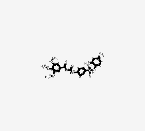 COc1cc(C(=O)NC(=S)Nc2ccc(S(=O)(=O)Nc3ccc(C)cc3C)cc2)cc(OC)c1OC